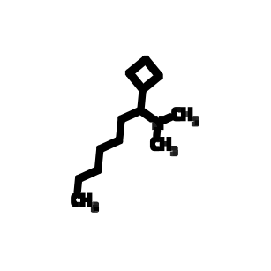 CCCCCCC(C1CCC1)N(C)C